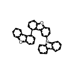 c1ccc2c(c1)oc1cccc(-c3cccc4oc5ccc(-n6c7ccccc7c7ccccc76)cc5c34)c12